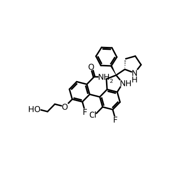 NC(=O)c1ccc(OCCO)c(F)c1-c1c(Cl)c(F)cc2c1C[C@](c1ccccc1)([C@@H]1CCCN1)N2